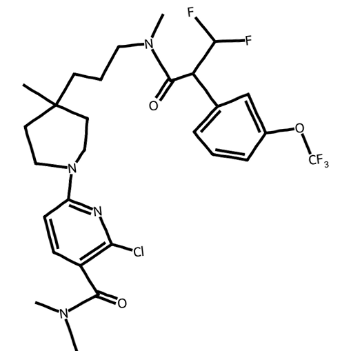 CN(C)C(=O)c1ccc(N2CCC(C)(CCCN(C)C(=O)C(c3cccc(OC(F)(F)F)c3)C(F)F)CC2)nc1Cl